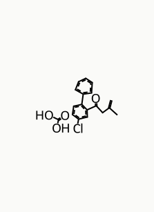 C=C(C)CC(=O)c1cc(Cl)ccc1-c1ccccc1.O=C(O)O